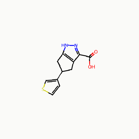 O=C(O)c1n[nH]c2c1CC(c1ccsc1)C2